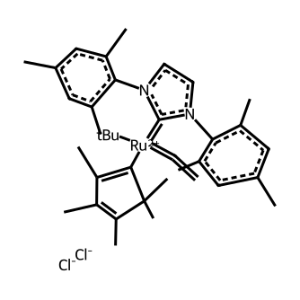 C=[C]=[Ru+2]([C]1=C(C)C(C)=C(C)C1(C)C)(=[c]1n(-c2c(C)cc(C)cc2C)ccn1-c1c(C)cc(C)cc1C)[C](C)(C)C.[Cl-].[Cl-]